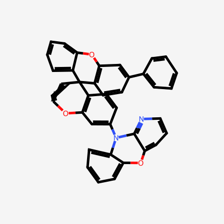 c1ccc(-c2ccc3c(c2)Oc2ccccc2C32c3ccccc3Oc3cc(N4c5ccccc5Oc5cccnc54)ccc32)cc1